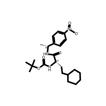 C[C@@H](NC(=S)[C@H](CCC1CCCCC1)NC(=O)OC(C)(C)C)c1ccc([N+](=O)[O-])cc1